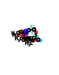 CC[Si](CC)(CC)OC(C)(c1ccc(F)cc1)C(F)(F)CCOc1ccc(F)c(-c2ccn3nc(N(C(=O)OC(C)(C)C)C(=O)OC(C)(C)C)nc3c2)c1F